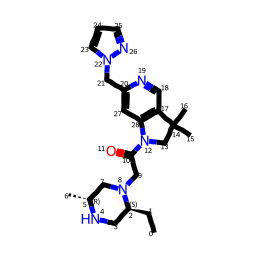 CC[C@H]1CN[C@H](C)CN1CC(=O)N1CC(C)(C)c2cnc(Cn3cccn3)cc21